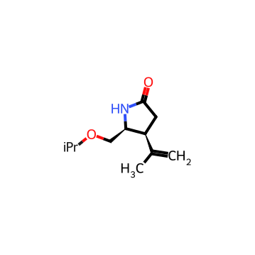 C=C(C)[C@@H]1CC(=O)N[C@@H]1COC(C)C